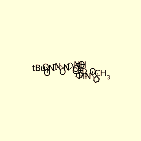 Cc1ccccc1C(=O)Nc1ccc(S(=O)(=O)N[C@@H]2CCN(C(=O)CN3CCN(C(=O)OC(C)(C)C)CC3)C[C@@H]2C)c2ccccc12